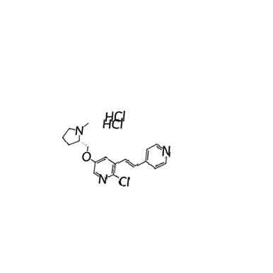 CN1CCC[C@H]1COc1cnc(Cl)c(/C=C/c2ccncc2)c1.Cl.Cl